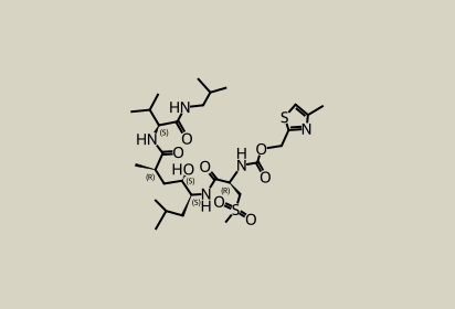 Cc1csc(COC(=O)N[C@@H](CS(C)(=O)=O)C(=O)N[C@@H](CC(C)C)[C@@H](O)C[C@@H](C)C(=O)N[C@H](C(=O)NCC(C)C)C(C)C)n1